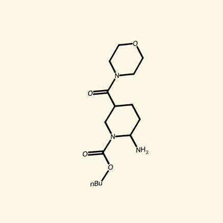 CCCCOC(=O)N1CC(C(=O)N2CCOCC2)CCC1N